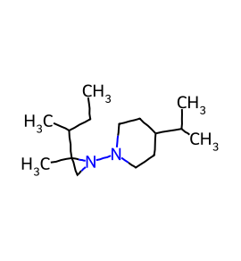 CCC(C)C1(C)CN1N1CCC(C(C)C)CC1